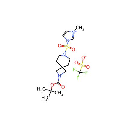 C[n+]1ccn(S(=O)(=O)N2CCC3(CC2)CN(C(=O)OC(C)(C)C)C3)c1.O=S(=O)([O-])C(F)(F)F